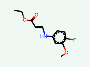 CCOC(=O)/C=C/Nc1ccc(F)c(OC)c1